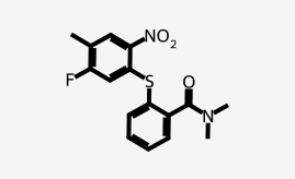 Cc1cc([N+](=O)[O-])c(Sc2ccccc2C(=O)N(C)C)cc1F